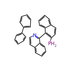 Pc1ccc2ccccc2c1-c1nccc2ccccc12.c1ccc(-c2ccccc2)cc1